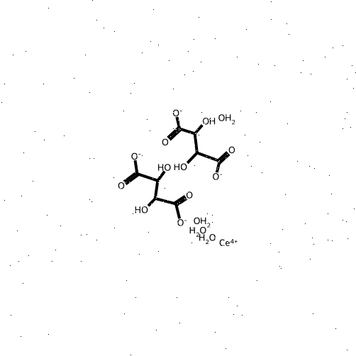 O.O.O.O.O=C([O-])C(O)C(O)C(=O)[O-].O=C([O-])C(O)C(O)C(=O)[O-].[Ce+4]